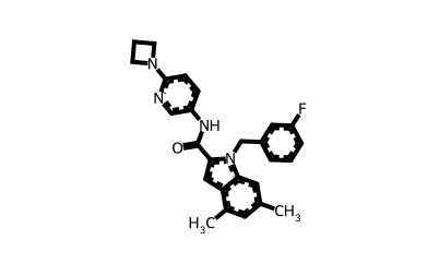 Cc1cc(C)c2cc(C(=O)Nc3ccc(N4CCC4)nc3)n(Cc3cccc(F)c3)c2c1